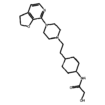 O=C(CO)NC1CCC(CCN2CCN(c3nccc4c3OCC4)CC2)CC1